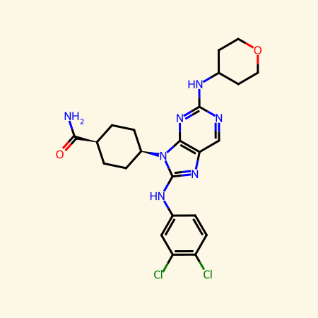 NC(=O)[C@H]1CC[C@@H](n2c(Nc3ccc(Cl)c(Cl)c3)nc3cnc(NC4CCOCC4)nc32)CC1